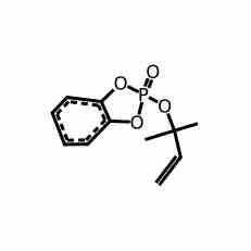 C=CC(C)(C)OP1(=O)Oc2ccccc2O1